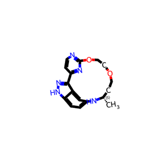 C[C@H]1CCOCCOc2nccc(n2)-c2n[nH]c3ccc(cc23)N1